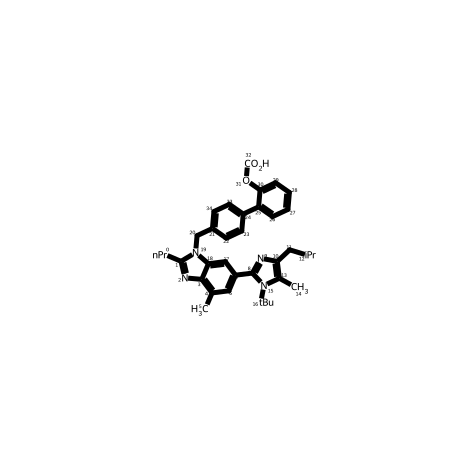 CCCc1nc2c(C)cc(-c3nc(CC(C)C)c(C)n3C(C)(C)C)cc2n1Cc1ccc(-c2ccccc2OC(=O)O)cc1